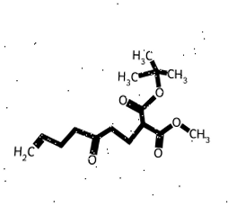 C=CCCC(=O)CCC(C(=O)OC)C(=O)OC(C)(C)C